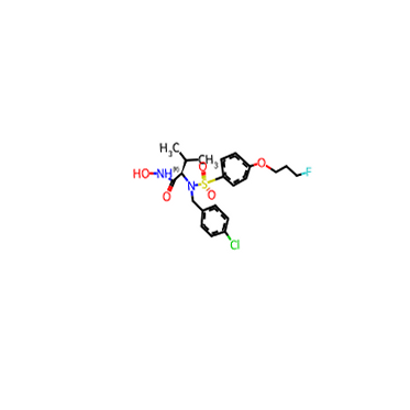 CC(C)[C@H](C(=O)NO)N(Cc1ccc(Cl)cc1)S(=O)(=O)c1ccc(OCCCF)cc1